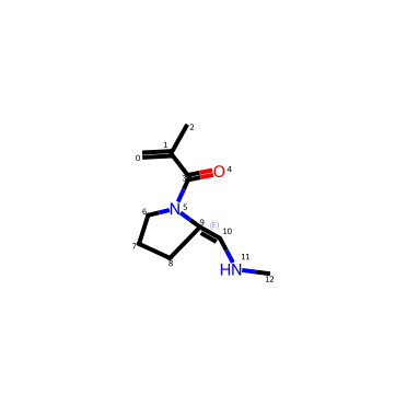 C=C(C)C(=O)N1CCC/C1=C\NC